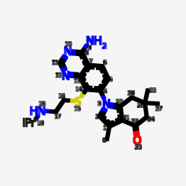 Cc1cn(-c2ccc3c(N)ncnc3c2SCCNC(C)C)c2c1C(=O)CC(C)(C)C2